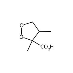 CC1COOC1(C)C(=O)O